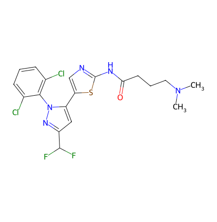 CN(C)CCCC(=O)Nc1ncc(-c2cc(C(F)F)nn2-c2c(Cl)cccc2Cl)s1